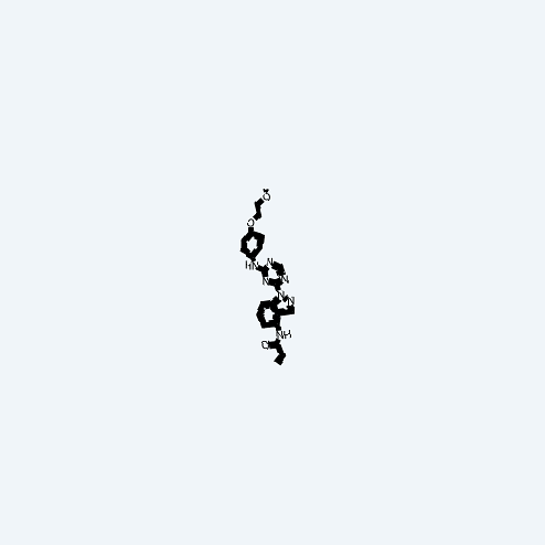 C=CC(=O)Nc1cccc2c1cnn2-c1ncnc(Nc2ccc(OCCOC)cc2)n1